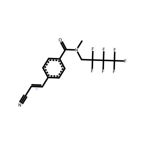 CN(CC(F)(F)C(F)(F)C(F)(F)F)C(=O)c1ccc(/C=C/C#N)cc1